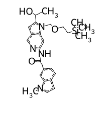 CC(O)c1cc2cnc(NC(=O)c3ccc4ccn(C)c4c3)cc2n1COCC[Si](C)(C)C